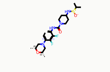 C=C(NC(=O)N1CCC(N[S+]([O-])C(C)C)CC1)/C(F)=C(F)\C(=C/C)N1C[C@@H](C)O[C@@H](C)C1